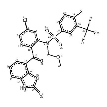 COCN(c1cc(Cl)cnc1C(=O)c1cccc2[nH]c(=O)oc12)S(=O)(=O)c1ccc(C)c(C(F)(F)F)c1